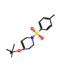 Cc1ccc(S(=O)(=O)N2CC=C(O[Si](C)(C)C)CC2)cc1